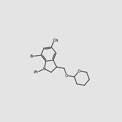 CC(C)N1CC(COC2CCCCO2)c2cc(C#N)cc(Br)c21